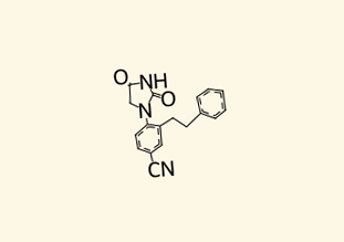 N#Cc1ccc(N2CC(=O)NC2=O)c(CCc2ccccc2)c1